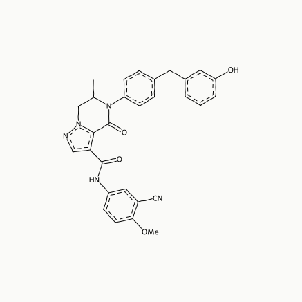 COc1ccc(NC(=O)c2cnn3c2C(=O)N(c2ccc(Cc4cccc(O)c4)cc2)C(C)C3)cc1C#N